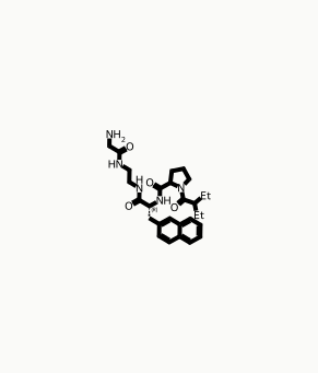 CCC(CC)C(=O)N1CCCC1C(=O)N[C@H](Cc1ccc2ccccc2c1)C(=O)NCCNC(=O)CN